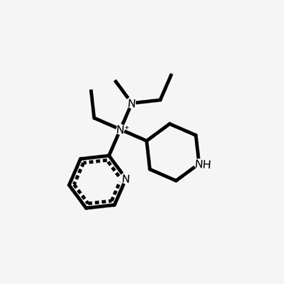 CCN(C)[N+](CC)(c1ccccn1)C1CCNCC1